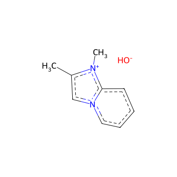 Cc1cn2ccccc2[n+]1C.[OH-]